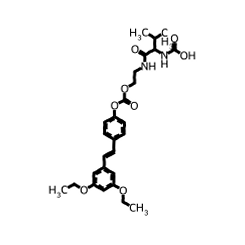 CCOc1cc(/C=C/c2ccc(OC(=O)OCCNC(=O)C(NC(=O)O)C(C)C)cc2)cc(OCC)c1